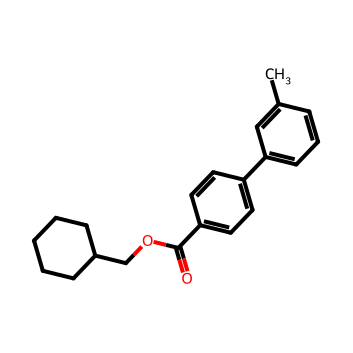 Cc1cccc(-c2ccc(C(=O)OCC3CCCCC3)cc2)c1